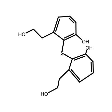 OCCc1cccc(O)c1Sc1c(O)cccc1CCO